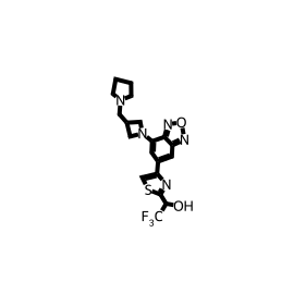 OC(c1nc(-c2cc(N3CC(CN4CCCC4)C3)c3nonc3c2)cs1)C(F)(F)F